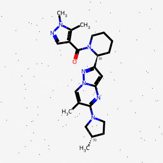 Cc1cn2nc([C@@H]3CCCCN3C(=O)c3cnn(C)c3C)cc2nc1N1CC[C@H](C)C1